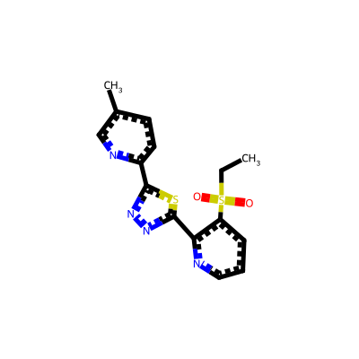 CCS(=O)(=O)c1cccnc1-c1nnc(-c2ccc(C)cn2)s1